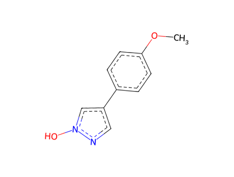 COc1ccc(-c2cnn(O)c2)cc1